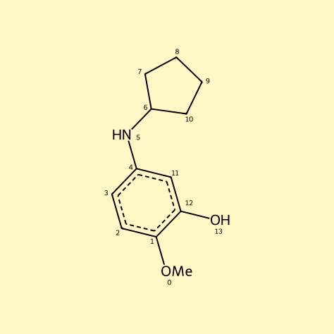 COc1ccc(NC2CCCC2)cc1O